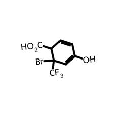 O=C(O)C1C=CC(O)=CC1(Br)C(F)(F)F